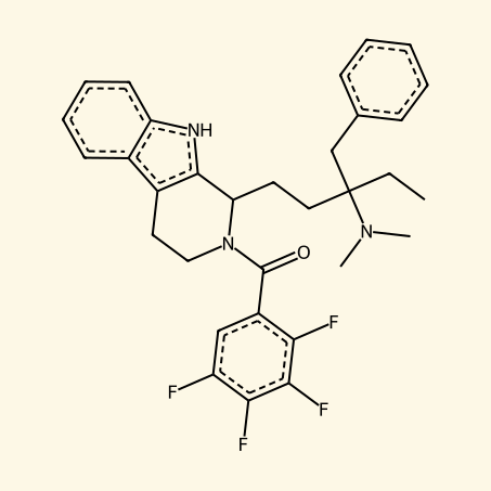 CCC(CCC1c2[nH]c3ccccc3c2CCN1C(=O)c1cc(F)c(F)c(F)c1F)(Cc1ccccc1)N(C)C